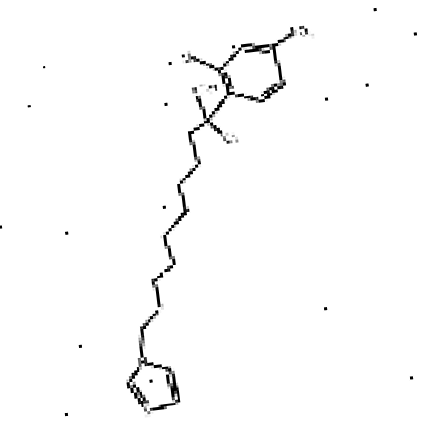 CCCCCCCCC(C#N)(CCCCCCCCCn1ccnc1)c1ccc([N+](=O)[O-])cc1Cl